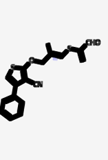 C=C(C=O)S/C=C(\C)COc1scc(-c2ccccc2)c1C#N